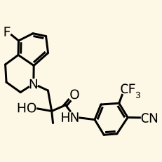 CC(O)(CN1CCCc2c(F)cccc21)C(=O)Nc1ccc(C#N)c(C(F)(F)F)c1